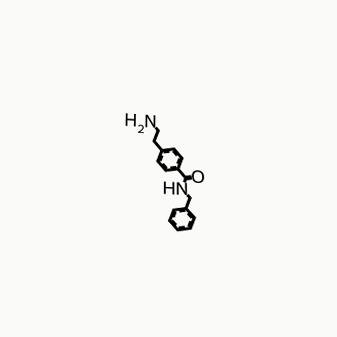 NCCc1ccc(C(=O)NCc2ccccc2)cc1